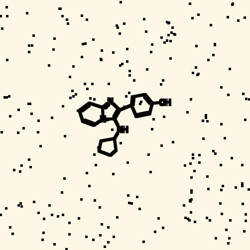 Oc1ccc(-c2nc3ccccn3c2NC2CCCC2)cc1